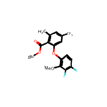 COc1c(Oc2cc(C(F)(F)F)cc(C)c2C(=O)OC(C)(C)C)ccc(F)c1F